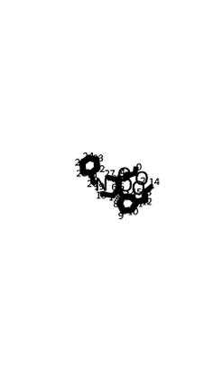 CC(=O)C(=O)OC1(c2cccc3cc(C)oc23)CCN(Cc2ccccc2)CC1C